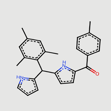 Cc1ccc(C(=O)c2ccc(C(c3ccc[nH]3)c3c(C)cc(C)cc3C)[nH]2)cc1